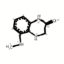 CNc1cccc2c1NCC(=O)N2